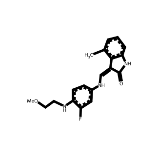 COCCNc1ccc(NC=C2C(=O)Nc3cccc(C)c32)cc1F